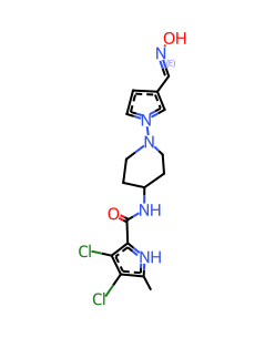 Cc1[nH]c(C(=O)NC2CCN(n3ccc(/C=N/O)c3)CC2)c(Cl)c1Cl